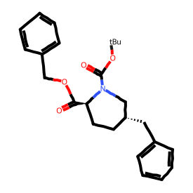 CC(C)(C)OC(=O)N1C[C@H](Cc2ccccc2)CC[C@H]1C(=O)OCc1ccccc1